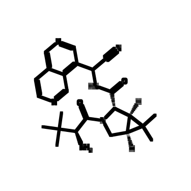 CC(C)(C)[C@H](N)C(=O)N1C[C@H]2[C@@H]([C@H]1C(=O)NC(C#N)c1cncc3ccncc13)C2(C)C